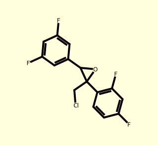 Fc1cc(F)cc(C2OC2(CCl)c2ccc(F)cc2F)c1